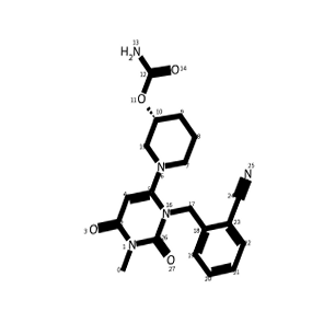 Cn1c(=O)cc(N2CCC[C@@H](OC(N)=O)C2)n(Cc2ccccc2C#N)c1=O